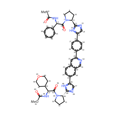 CNC(=O)N[C@@H](C(=O)N1CCC[C@H]1c1ncc(-c2ccc(-c3cc4ccc(-c5cnc([C@@H]6CCCN6C(=O)[C@@H](NC(=O)OC)C6CCOCC6)[nH]5)cc4cn3)cc2)[nH]1)c1ccccc1